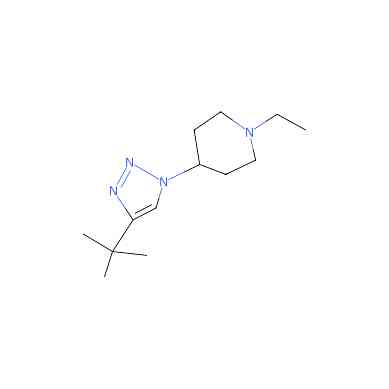 CCN1CCC(n2cc(C(C)(C)C)nn2)CC1